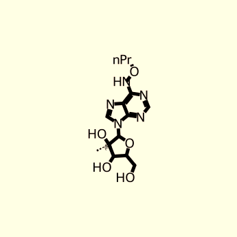 CCCONc1ncnc2c1ncn2C1OC(CO)C(O)[C@@]1(C)O